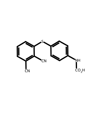 N#Cc1cccc(Sc2ccc(NC(=O)O)cc2)c1C#N